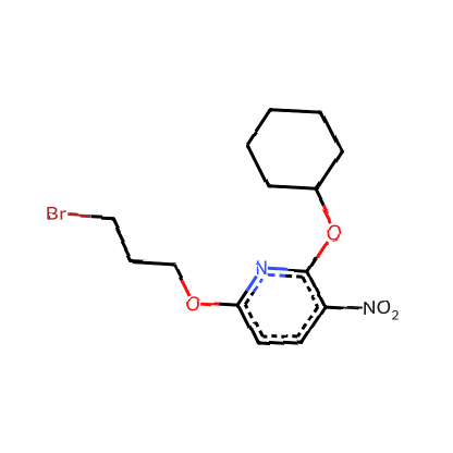 O=[N+]([O-])c1ccc(OCCCBr)nc1OC1CCCCC1